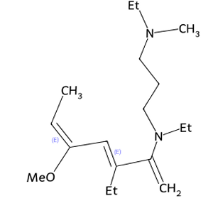 C=C(/C(=C/C(=C\C)OC)CC)N(CC)CCCN(C)CC